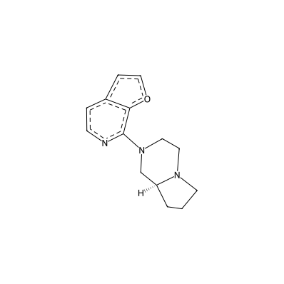 c1cc2ccoc2c(N2CCN3CCC[C@H]3C2)n1